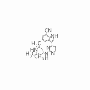 C=C1CC(Nc2nccc(-c3c[nH]c4c(C#N)cccc34)n2)CC(C)(C)N1